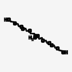 O.OCCOCCOOCCOCCOOCCOCCOOCCOCCO